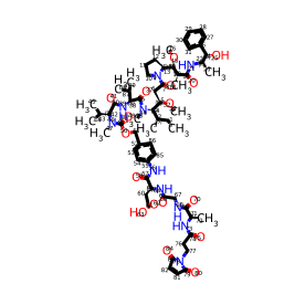 CC[C@H](C)[C@@H]([C@@H](CC(=O)N1CCC[C@H]1[C@H](OC)[C@@H](C)C(=O)N[C@H](C)[C@@H](O)c1ccccc1)OC)N(C)C(=O)[C@@H](NC(=O)[C@H](C(C)C)N(C)C(=O)OCc1ccc(NC(=O)[C@H](CC(=O)O)NC(=O)CNC(=O)[C@@H](C)NC(=O)CCN2C(=O)C=CC2=O)cc1)C(C)C